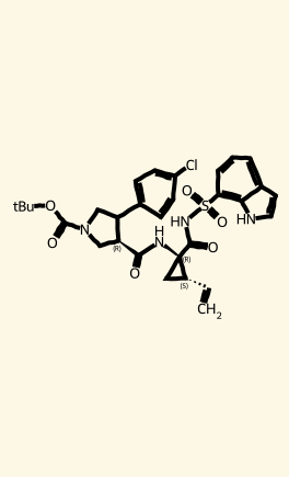 C=C[C@@H]1C[C@]1(NC(=O)[C@H]1CN(C(=O)OC(C)(C)C)CC1c1ccc(Cl)cc1)C(=O)NS(=O)(=O)c1cccc2cc[nH]c12